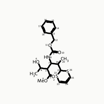 COC(=O)C(C(C)O)C(NC(=O)OCc1ccccc1)C(C)C1SC=C=CS1